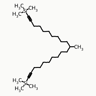 CC(CCCCCCCCC#C[Si](C)(C)C)CCCCCCCCC#C[Si](C)(C)C